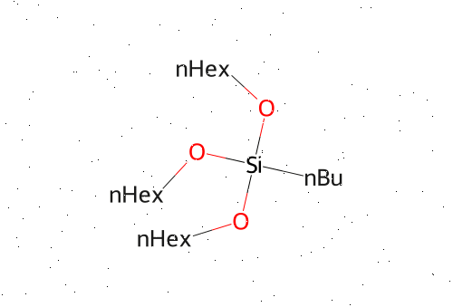 [CH2]CCC[Si](OCCCCCC)(OCCCCCC)OCCCCCC